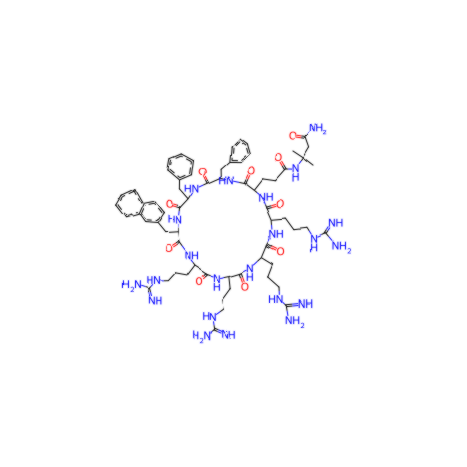 CC(C)(CC(N)=O)NC(=O)CCC1NC(=O)C(CCCNC(=N)N)NC(=O)C(CCCNC(=N)N)NC(=O)C(CCCNC(=N)N)NC(=O)C(CCCNC(=N)N)NC(=O)C(Cc2ccc3ccccc3c2)NC(=O)C(Cc2ccccc2)NC(=O)C(Cc2ccccc2)NC1=O